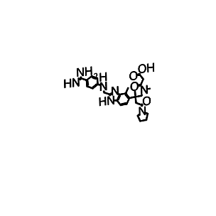 Cc1c(C(C)(CC(=O)N2CCCC2)CN(C)C(=O)CC(=O)O)ccc2[nH]c(CNc3ccc(C(=N)N)cc3)nc12